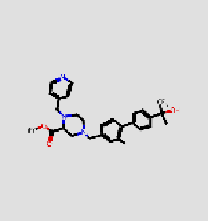 Cc1cc(CN2CCN(Cc3ccncc3)C(C(=O)OC(C)C)C2)ccc1-c1ccc(C(C)(O)C(F)(F)F)cc1